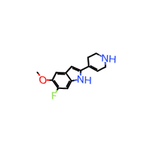 COc1cc2cc(C3=CCNCC3)[nH]c2cc1F